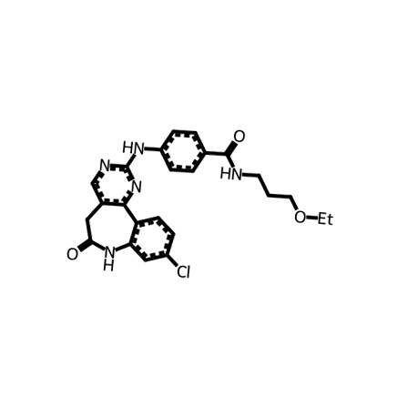 CCOCCCNC(=O)c1ccc(Nc2ncc3c(n2)-c2ccc(Cl)cc2NC(=O)C3)cc1